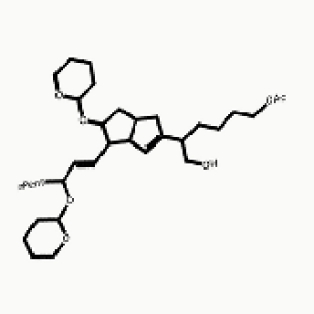 CCCCCC(C=CC1C(OC2CCCCO2)CC2CC(C(CO)CCCCOC(C)=O)=CC21)OC1CCCCO1